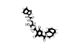 O=C(NCC(NC(=O)c1c(Cl)cc(C(=O)N2CCc3ccccc3C2)cc1Cl)C(=O)O)N[C@@H]1CCc2ccccc21